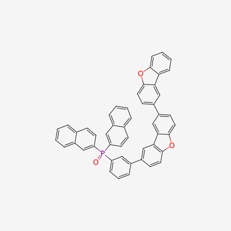 O=P(c1cccc(-c2ccc3oc4ccc(-c5ccc6oc7ccccc7c6c5)cc4c3c2)c1)(c1ccc2ccccc2c1)c1ccc2ccccc2c1